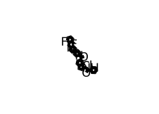 O=C(NC1CCc2ccc(C(=O)N3CCC4(CCN(Cc5c(F)cccc5F)CC4)CC3)cc21)c1ccccc1Cl